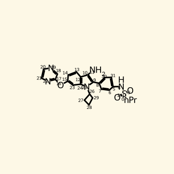 CCCS(=O)(=O)Nc1ccc(-c2c(N)c3ccc(Oc4cnccn4)cc3n2C2CCC2)cc1